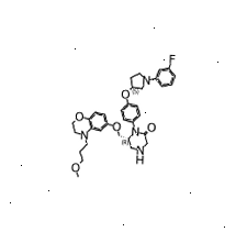 COCCCN1CCOc2ccc(OC[C@H]3CNCC(=O)N3c3ccc(O[C@H]4CCN(c5cccc(F)c5)C4)cc3)cc21